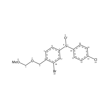 COCOCc1ccc([S+]([O-])c2ccc(Cl)cc2)cc1Br